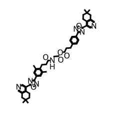 Cc1cc(-c2noc(-c3cncc4c3CCC(C)(C)C4)n2)cc(C)c1CCC(=O)NCC(=O)OC(=O)CCc1ccc(-c2noc(-c3cncc4c3CCC(C)(C)C4)n2)cc1